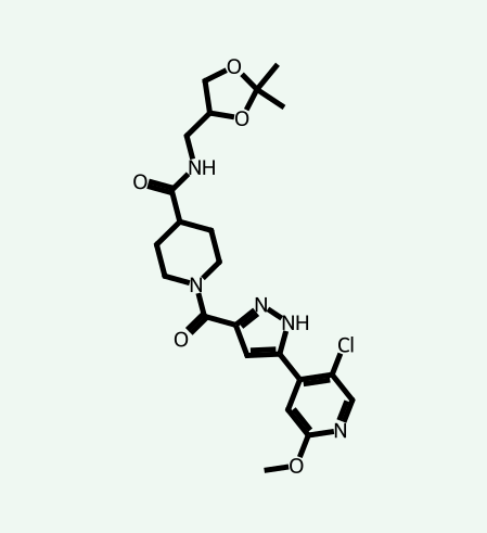 COc1cc(-c2cc(C(=O)N3CCC(C(=O)NCC4COC(C)(C)O4)CC3)n[nH]2)c(Cl)cn1